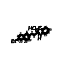 CCc1ccc2cc(CCC(=O)Nc3ccccc3C(=O)O)ccc2c1